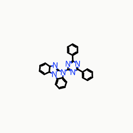 C1=CC2N=C3N(c4nc(-c5ccccc5)nc(-c5ccccc5)n4)c4ccccc4N3C2C=C1